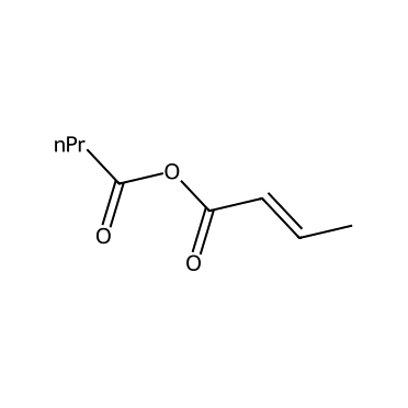 C/C=C/C(=O)OC(=O)CCC